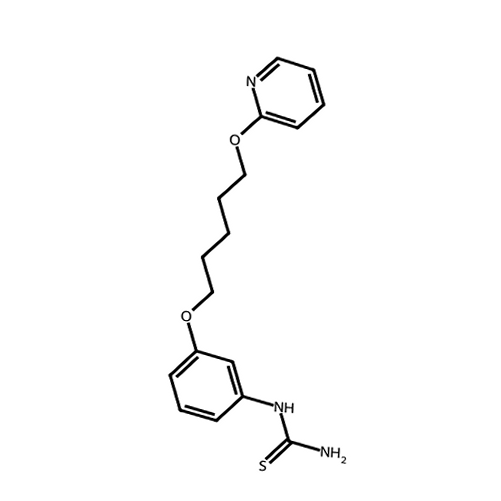 NC(=S)Nc1cccc(OCCCCCOc2ccccn2)c1